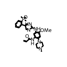 C=CC(=O)Nc1cc(NC(=N)/N=C\C(=C)c2ccccc2P(C)(C)=O)c(OC)cc1N1CCN(C)CC1